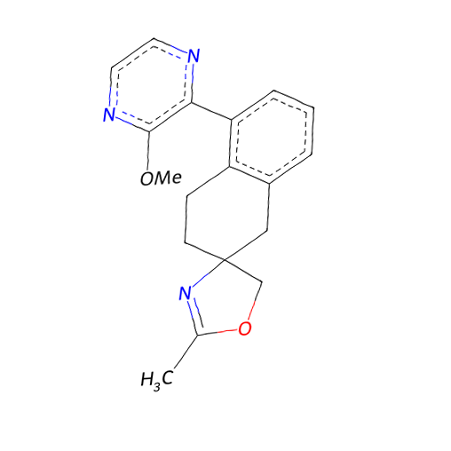 COc1nccnc1-c1cccc2c1CCC1(COC(C)=N1)C2